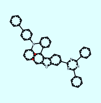 c1ccc(-c2ccc(N(c3ccccc3)c3ccccc3-c3cccc4oc5cc(-c6nc(-c7ccccc7)nc(-c7ccccc7)n6)ccc5c34)cc2)cc1